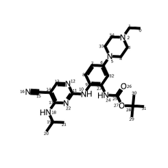 CCN1CCN(c2ccc(Nc3ncc(C#N)c(NC(C)C)n3)c(NC(=O)OC(C)(C)C)c2)CC1